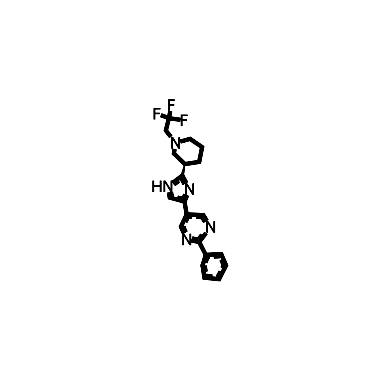 FC(F)(F)CN1CCC[C@@H](c2nc(-c3cnc(-c4ccccc4)nc3)c[nH]2)C1